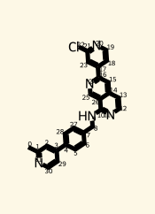 Cc1cc(-c2ccc(CNc3nccc4cc(-c5ccnc(Cl)c5)ncc34)cc2)ccn1